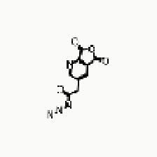 [N-]=[N+]=NC(=O)Cc1cnc2c(c1)C(=O)OC2=O